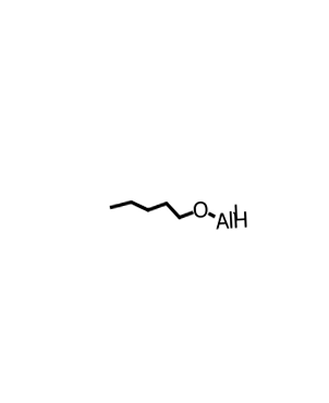 CCCCC[O][AlH][I]